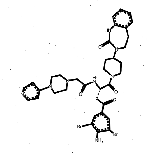 Nc1c(Br)cc(C(=O)C[C@H](NC(=O)CN2CCN(c3ccncc3)CC2)C(=O)N2CCC(N3CCc4ccccc4NC3=O)CC2)cc1Br